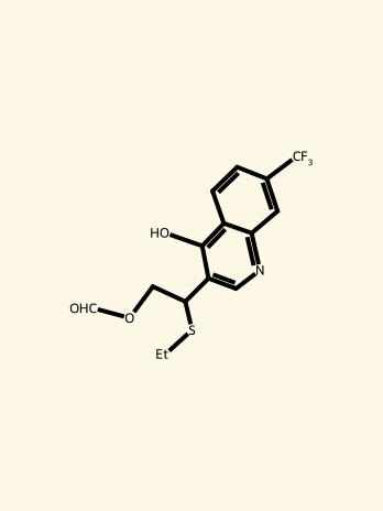 CCSC(COC=O)c1cnc2cc(C(F)(F)F)ccc2c1O